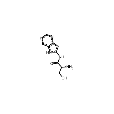 N[C@@H](CO)C(=O)Nc1nc2ncncc2[nH]1